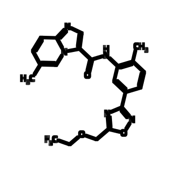 Cc1ccc2ncc(C(=O)Nc3cc(-c4noc(COCC(F)(F)F)n4)ccc3C)n2c1